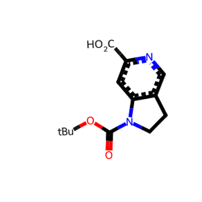 CC(C)(C)OC(=O)N1CCc2cnc(C(=O)O)cc21